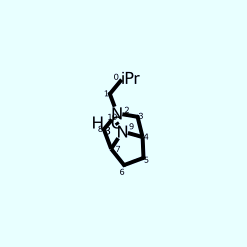 CC(C)CN1CC2CCC(C1)N2C